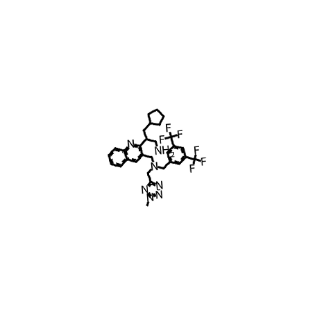 Cn1nnc(CN(Cc2cc(C(F)(F)F)cc(C(F)(F)F)c2)Cc2cc3ccccc3nc2C(CN)CC2CCCC2)n1